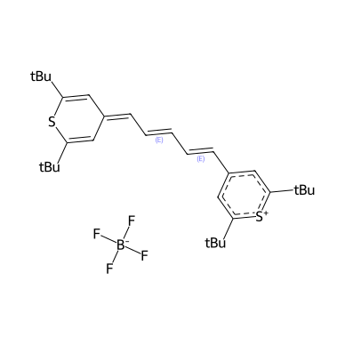 CC(C)(C)C1=CC(=C/C=C/C=C/c2cc(C(C)(C)C)[s+]c(C(C)(C)C)c2)C=C(C(C)(C)C)S1.F[B-](F)(F)F